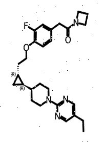 CCc1cnc(N2CCC([C@H]3C[C@@H]3CCOc3ccc(CC(=O)N4CCC4)cc3F)CC2)nc1